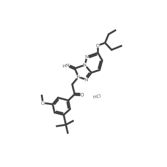 CCC(CC)Oc1ccc2nn(CC(=O)c3cc(OC)cc(C(C)(C)C)c3)c(=N)n2n1.Cl